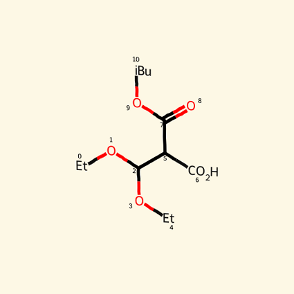 CCOC(OCC)C(C(=O)O)C(=O)OC(C)CC